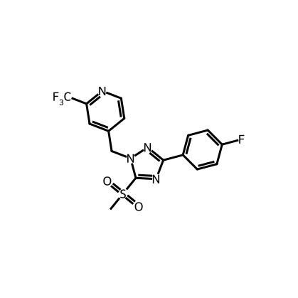 CS(=O)(=O)c1nc(-c2ccc(F)cc2)nn1Cc1ccnc(C(F)(F)F)c1